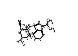 CC1C[C@@H]2c3cccc4c3c(cn4C(C)C)C[C@H]2N(C#N)C1